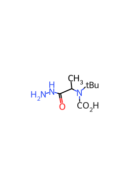 CC(C(=O)NN)N(C(=O)O)C(C)(C)C